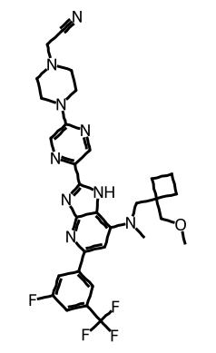 COCC1(CN(C)c2cc(-c3cc(F)cc(C(F)(F)F)c3)nc3nc(-c4cnc(N5CCN(CC#N)CC5)cn4)[nH]c23)CCC1